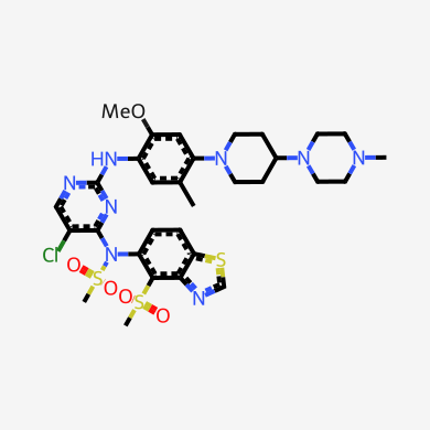 COc1cc(N2CCC(N3CCN(C)CC3)CC2)c(C)cc1Nc1ncc(Cl)c(N(c2ccc3scnc3c2S(C)(=O)=O)S(C)(=O)=O)n1